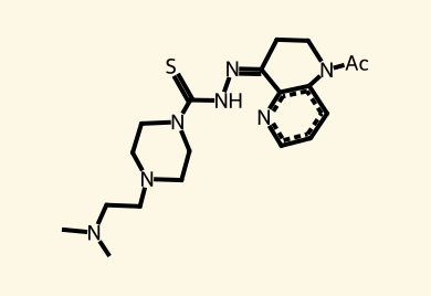 CC(=O)N1CC/C(=N/NC(=S)N2CCN(CCN(C)C)CC2)c2ncccc21